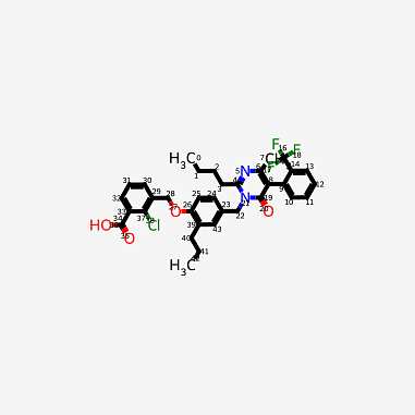 CCCCc1nc(C)c(-c2ccccc2C(F)(F)F)c(=O)n1Cc1ccc(OCc2cccc(C(=O)O)c2Cl)c(CCC)c1